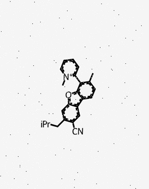 Cc1ccc2c(oc3cc(CC(C)C)c(C#N)cc32)c1-c1cccc[n+]1C